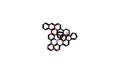 CC1(c2ccccc2)c2ccccc2-c2ccc(-c3ccccc3N(c3cc(-c4cccc5ccccc45)ccc3-c3ccccc3)c3ccccc3-c3cccc4cccc(C5CCCCC5)c34)cc21